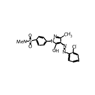 CNS(=O)(=O)c1ccc(-n2nc(C)c(/N=N/c3ccccc3Cl)c2O)cc1